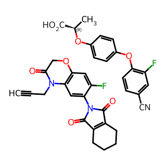 C#CCN1C(=O)COc2cc(F)c(N3C(=O)C4=C(CCCC4)C3=O)cc21.C[C@@H](Oc1ccc(Oc2ccc(C#N)cc2F)cc1)C(=O)O